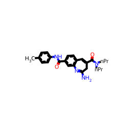 CCCN(CCC)C(=O)C1=Cc2ccc(C(=O)Nc3ccc(C)cc3)cc2N=C(N)C1